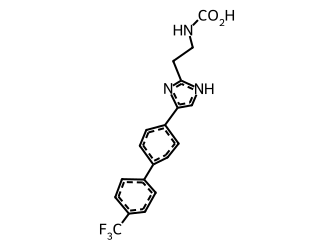 O=C(O)NCCc1nc(-c2ccc(-c3ccc(C(F)(F)F)cc3)cc2)c[nH]1